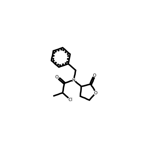 CC(Cl)C(=O)N(Cc1ccccc1)C1CCOC1=O